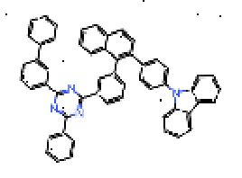 c1ccc(-c2cccc(-c3nc(-c4ccccc4)nc(-c4cccc(-c5c(-c6ccc(-n7c8ccccc8c8ccccc87)cc6)ccc6ccccc56)c4)n3)c2)cc1